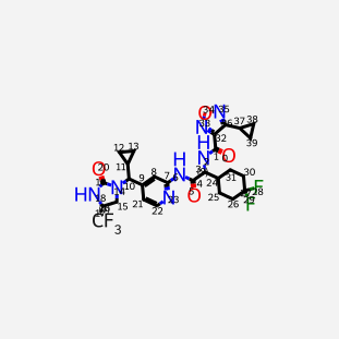 O=C(N[C@H](C(=O)Nc1cc(C(C2CC2)N2C[C@@H](C(F)(F)F)NC2=O)ccn1)C1CCC(F)(F)CC1)c1nonc1C1CC1